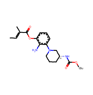 CC=C(C)C(=O)Oc1cccc(N2CCC[C@@H](NC(=O)OC(C)(C)C)C2)c1N